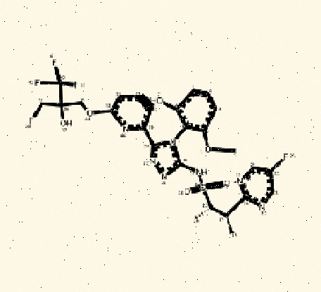 COc1cccc(O)c1-n1c(NS(=O)(=O)[C@@H](C)[C@H](C)c2ncc(F)cn2)nnc1-c1c#ccc(OCC(O)(CF)C(F)(F)F)n1